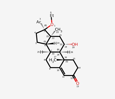 CCO[C@]1(C(C)=O)CC[C@H]2[C@@H]3CCC4=CC(=O)CC[C@@]4(C)[C@@H]3[C@@H](O)C[C@@]21C